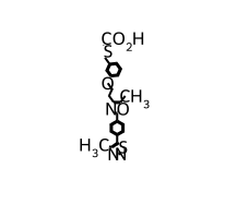 Cc1nnsc1-c1ccc(-c2nc(CCOc3cccc(CSCC(=O)O)c3)c(C)o2)cc1